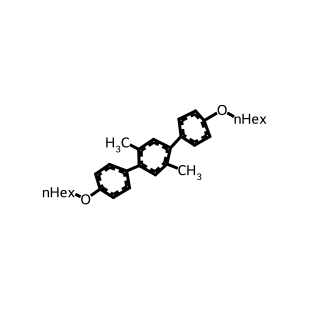 CCCCCCOc1ccc(-c2cc(C)c(-c3ccc(OCCCCCC)cc3)cc2C)cc1